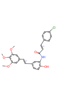 COc1cc(/C=C/c2ccc(O)c(NC(=O)/C=C/c3ccc(Cl)cc3)c2)cc(OC)c1OC